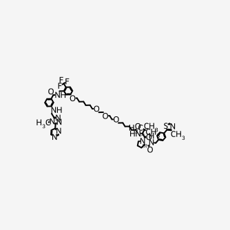 Cc1ncsc1-c1ccc(CNC(=O)[C@@H]2CCCN2C(=O)[C@@H](NC(=O)CCCCCOCCOCCOCCCCCCOc2ccc(C(F)(F)F)c(CNC(=O)c3cccc(NCc4nnc(-c5ccncn5)n4C)c3)c2)C(C)(C)C)cc1